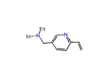 C=Cc1ccc(CN(CC)CC)cn1